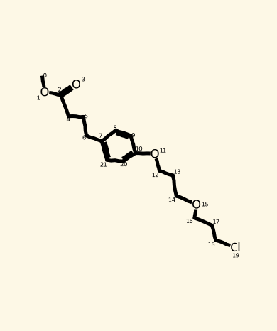 COC(=O)CCCc1ccc(OCCCOCCCCl)cc1